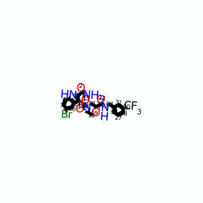 NC(=O)c1[nH]c2ccc(Br)cc2c1S(=O)(=O)N1CCOC(C(=O)NCc2cccc(C(F)(F)F)c2)C1